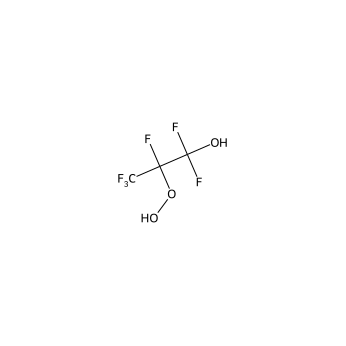 OOC(F)(C(O)(F)F)C(F)(F)F